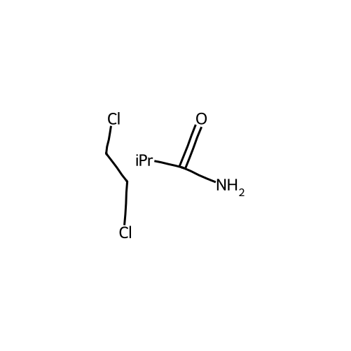 CC(C)C(N)=O.ClCCCl